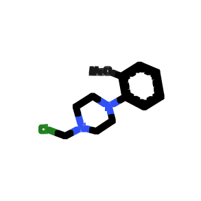 COc1ccccc1N1CCN(CCl)CC1